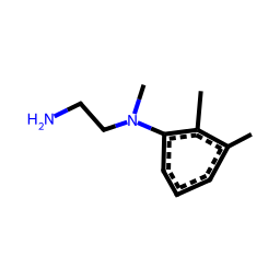 Cc1cccc(N(C)CCN)c1C